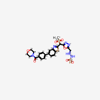 CS(=O)(=O)C(c1nnc(CNN[SH](=O)=O)o1)c1nc2cc(-c3ccc(C(=O)N4CCOCC4)cc3)ccc2s1